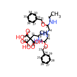 CCNC(CNCC(NC(C)CC(C(=O)O)(C(=O)O)C(=O)O)OCc1ccccc1)OCc1ccccc1